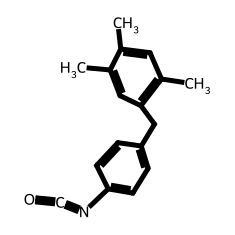 Cc1cc(C)c(Cc2ccc(N=C=O)cc2)cc1C